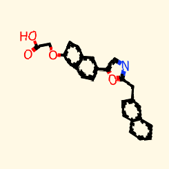 O=C(O)COc1ccc2cc(-c3cnc(Cc4ccc5ccccc5c4)o3)ccc2c1